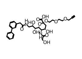 C#CCOCCOCCO[C@]1(C(=O)O)C[C@H](O)[C@@H](NC(=O)CO)[C@H]([C@H](O)[C@H](O)CNC(=O)Cc2cccc(-c3ccccc3)c2)O1